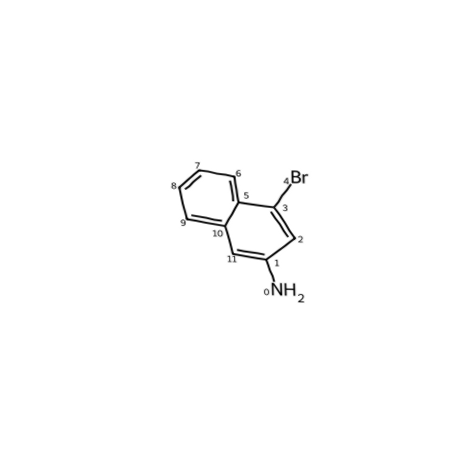 Nc1cc(Br)c2ccccc2c1